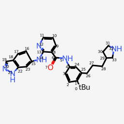 CC(C)(C)c1ccc(NC(=O)c2cccnc2Nc2ccc3cn[nH]c3c2)cc1CCCC1CCNC1